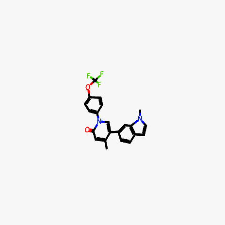 Cc1cc(=O)n(-c2ccc(OC(F)(F)F)cc2)cc1-c1ccc2ccn(C)c2c1